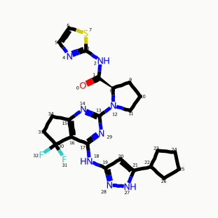 O=C(Nc1nccs1)[C@H]1CCCN1c1nc2c(c(Nc3cc(C4CCCC4)[nH]n3)n1)C(F)(F)CC2